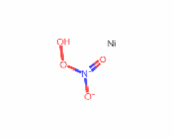 O=[N+]([O-])OO.[Ni]